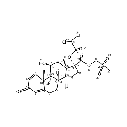 C[C@]12C=CC(=O)C=C1CC[C@H]1[C@@H]3CC[C@](OC(=O)C(Cl)Cl)(C(=O)OCS(C)(=O)=O)[C@@]3(C)C[C@H](O)[C@@]12F